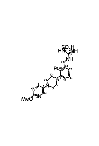 COc1ncc(N2CCN(c3cccc(CNC(=N)NC(=O)O)c3F)CC2)cn1